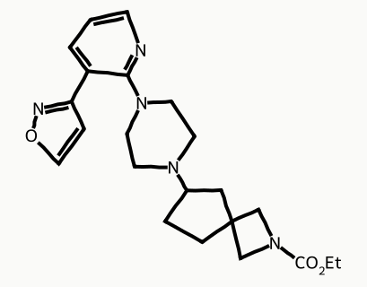 CCOC(=O)N1CC2(CCC(N3CCN(c4ncccc4-c4ccon4)CC3)C2)C1